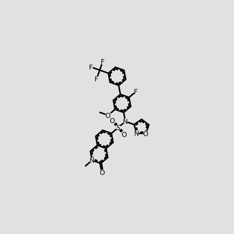 COc1cc(-c2cccc(C(F)(F)F)c2)c(F)cc1N(c1ccon1)S(=O)(=O)c1ccc2cn(C)c(=O)cc2c1